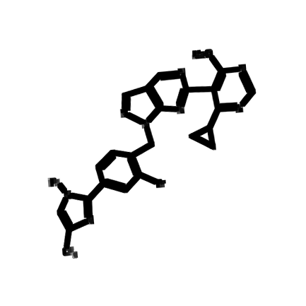 COc1ncnc(C2CC2)c1-c1ncc2cnn(Cc3ccc(-c4nc(C(F)(F)F)cn4C(C)C)cc3Br)c2n1